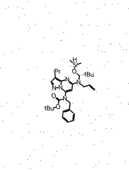 C=CCN(c1cc(N(Cc2ccccc2)C(=O)OC(C)(C)C)n2ncc(C(C)C)c2n1)[C@H](O[SiH](C)C)C(C)(C)C